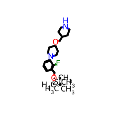 CC(C)(C)[Si](C)(C)OCc1cccc(N2CCC(OCC3CCNCC3)CC2)c1F